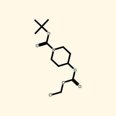 CC(C)(C)OC(=O)N1CCC(OC(=O)OCCl)CC1